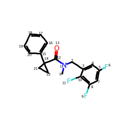 CN(Cc1cc(F)cc(F)c1F)C(=O)C1(c2ccccc2)CC1